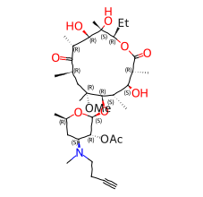 C#CCCN(C)[C@H]1C[C@@H](C)O[C@@H](O[C@@H]2[C@@H](C)[C@H](O)[C@@H](C)C(=O)O[C@H](CC)[C@@](C)(O)[C@H](O)[C@@H](C)C(=O)[C@H](C)C[C@@]2(C)OC)[C@@H]1OC(C)=O